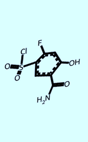 NC(=O)c1cc(S(=O)(=O)Cl)c(F)cc1O